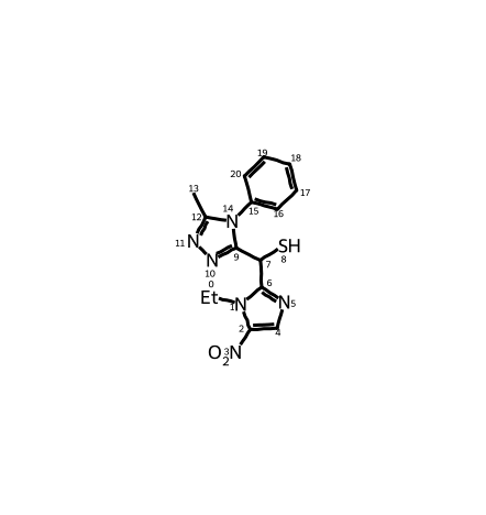 CCn1c([N+](=O)[O-])cnc1C(S)c1nnc(C)n1-c1ccccc1